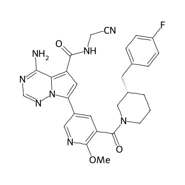 COc1ncc(-c2cc(C(=O)NCC#N)c3c(N)ncnn23)cc1C(=O)N1CCC[C@@H](Cc2ccc(F)cc2)C1